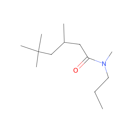 CCCN(C)C(=O)CC(C)CC(C)(C)C